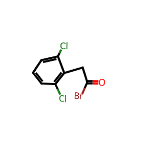 O=C(Br)Cc1c(Cl)cccc1Cl